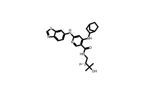 CC(C)(O)[C@H](F)CNC(=O)c1cnc(Nc2ccc3ncsc3c2)cc1NC1CC2CCC1C2